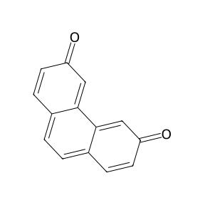 O=C1C=Cc2ccc3c(c2=C1)=CC(=O)C=C3